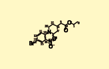 CCOC(=O)CC1CCN(c2ccc(Br)cc2[N+](=O)[O-])CC1